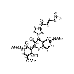 CNc1ncc2c(n1)N(C1CCN(C(=O)C=CCN(C)C)C1)C(=O)N(c1c(Cl)c(OC)cc(OC)c1Cl)C2